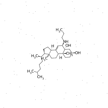 CCCN[C@@H]1C=C2[C@@H]3CC[C@H]([C@H](C)CCCC(C)C)[C@@]3(C)CC[C@@H]2[C@@]2(C)CC[C@H](O)C[C@]12O